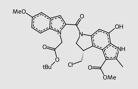 COC(=O)c1c(C)[nH]c2c(O)cc3c(c12)[C@H](CCl)CN3C(=O)c1cc2cc(OC)ccc2n1CC(=O)OC(C)(C)C